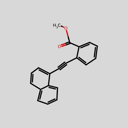 COC(=O)c1ccccc1C#Cc1cccc2ccccc12